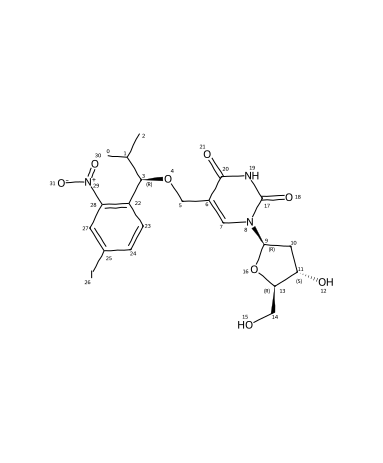 CC(C)[C@@H](OCc1cn([C@H]2C[C@H](O)[C@@H](CO)O2)c(=O)[nH]c1=O)c1ccc(I)cc1[N+](=O)[O-]